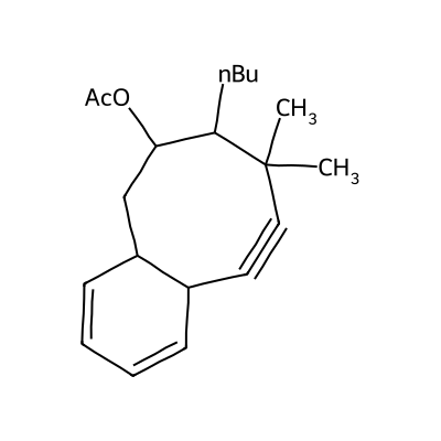 CCCCC1C(OC(C)=O)CC2C=CC=CC2C#CC1(C)C